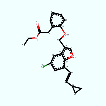 CCOC(=O)Cc1ccccc1OCc1coc2c(/C=C/C3CC3)cc(Cl)cc12